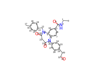 CCNC(=O)c1ccc2c(c1)N(Cc1ccc(C)cc1)C(=O)CC(=O)N2c1ccc(CC=O)cc1